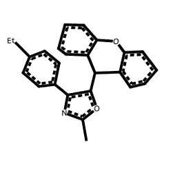 CCc1ccc(-c2nc(C)oc2C2c3ccccc3Oc3ccccc32)cc1